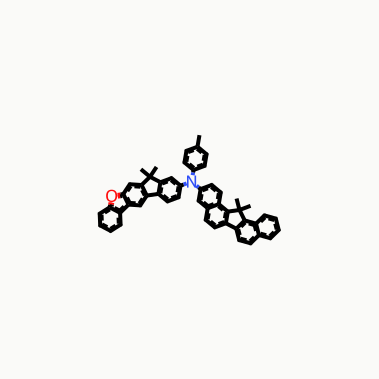 Cc1ccc(N(c2ccc3c(c2)C(C)(C)c2cc4oc5ccccc5c4cc2-3)c2ccc3c4c(ccc3c2)-c2ccc3ccccc3c2C4(C)C)cc1